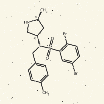 Cc1ccc(CN([C@H]2CN[C@@H](C)C2)S(=O)(=O)c2cc(Br)ccc2Br)cc1